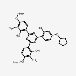 CCCCCCOc1ccc(-c2nc(-c3ccc(OC4CCCC4)cc3O)nc(-c3ccc(OCCCCCC)c(C)c3O)n2)c(O)c1C